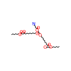 CCCCCCOCC(C=O)C(=O)CCCCCCCCOCC(COC(=O)CCCN(C)C)OCCCCCCCCC(=O)CC(=O)OCCCCCC